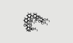 COc1nc(-c2cccc(-c3cccc(NC(=O)c4ccnn(C)c4=O)c3Cl)c2Cl)ccc1CNCC(C)C(C)=O